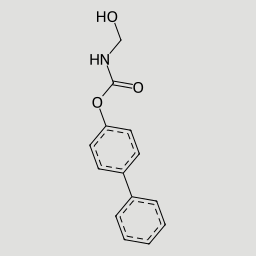 O=C(NCO)Oc1ccc(-c2ccccc2)cc1